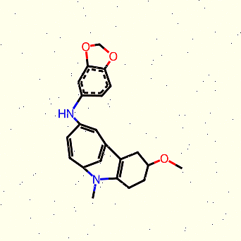 COC1CCC2=C(C1)C1=CC(C=CC(Nc3ccc4c(c3)OCO4)=C1)N2C